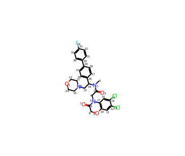 CN(C(=O)CN1C(=O)COc2cc(Cl)c(Cl)cc21)C(CN1CCOCC1)c1ccc(-c2ccc(F)cc2)cc1